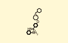 Nc1ccccc1NC(=O)c1ccc(O[C@H]2CCCN(CC3CCCCC3)CC2)cc1